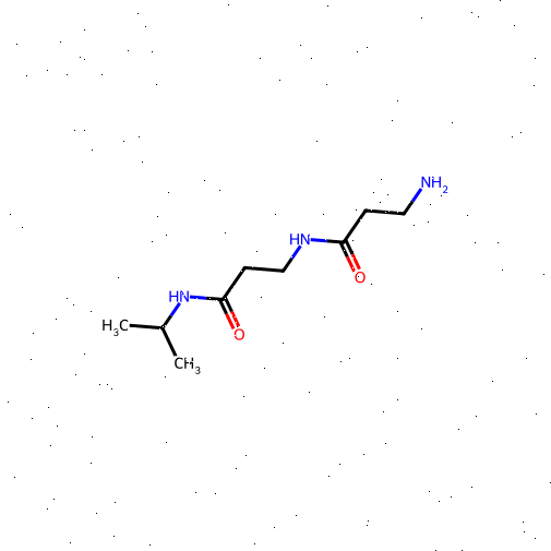 CC(C)NC(=O)CCNC(=O)CCN